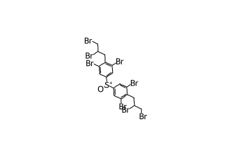 [O-][S+](c1cc(Br)c(CC(Br)CBr)c(Br)c1)c1cc(Br)c(CC(Br)CBr)c(Br)c1